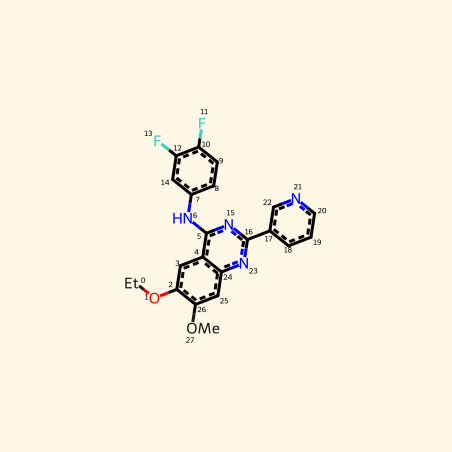 CCOc1cc2c(Nc3ccc(F)c(F)c3)nc(-c3cccnc3)nc2cc1OC